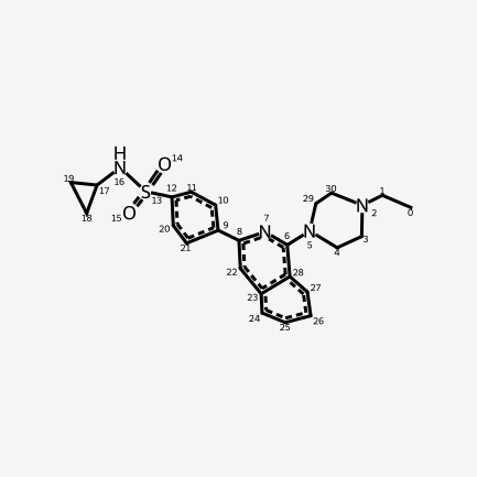 CCN1CCN(c2nc(-c3ccc(S(=O)(=O)NC4CC4)cc3)cc3ccccc23)CC1